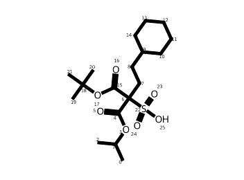 CC(C)OC(=O)C(CCC1CCCCC1)(C(=O)OC(C)(C)C)S(=O)(=O)O